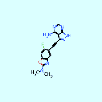 CN(C)c1nc2cc(C#Cc3n[nH]c4ncnc(N)c34)c(F)cc2o1